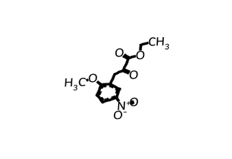 CCOC(=O)C(=O)Cc1cc([N+](=O)[O-])ccc1OC